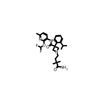 Cc1ccc(NC(=O)C2(c3ccccc3C(C)C)CN(CCC(C)(C)C(N)=O)C2)c(OC(F)F)n1